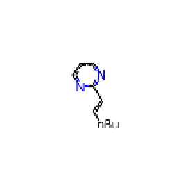 CCCCC=Cc1ncccn1